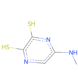 CNc1cnc(S)c(S)n1